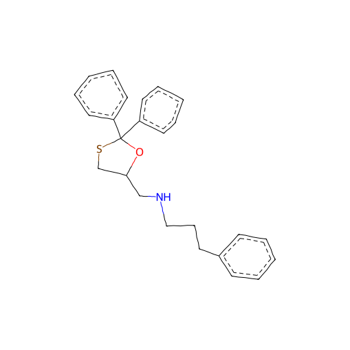 c1ccc(CCCNCC2CSC(c3ccccc3)(c3ccccc3)O2)cc1